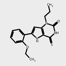 CCCn1c(=O)[nH]c(=S)c2[nH]c(-c3ccccc3OCC)cc21